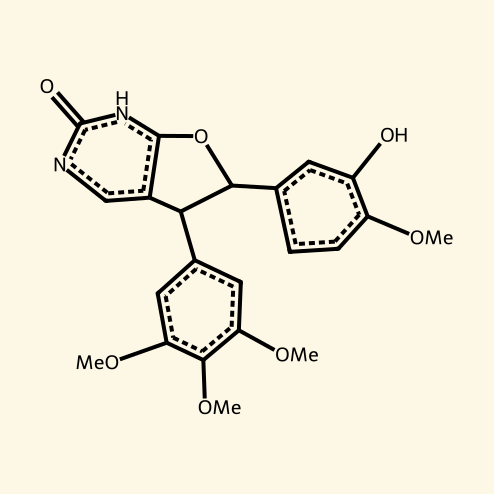 COc1ccc(C2Oc3[nH]c(=O)ncc3C2c2cc(OC)c(OC)c(OC)c2)cc1O